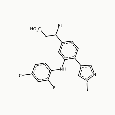 CCC(CC(=O)O)c1ccc(-c2cnn(C)c2)c(Nc2ccc(Cl)cc2F)c1